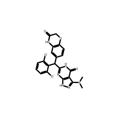 CN(C)c1n[nH]c2nc(C(c3ccc4c(c3)NC(=O)CO4)c3c(Cl)cccc3Cl)[nH]c(=O)c12